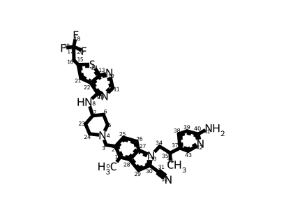 Cc1c(CN2CCC(Nc3ncnc4sc(CC(F)(F)F)cc34)CC2)ccc2c1cc(C#N)n2CC(C)c1ccc(N)nc1